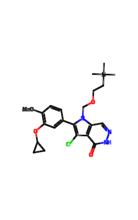 COc1ccc(-c2c(Cl)c3c(=O)[nH]ncc3n2COCC[Si](C)(C)C)cc1OC1CC1